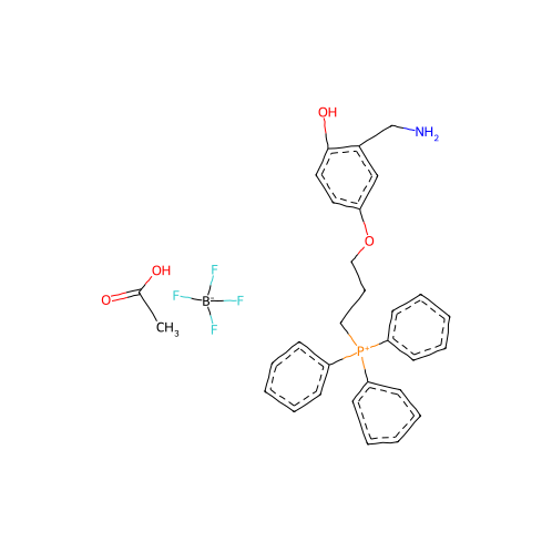 CC(=O)O.F[B-](F)(F)F.NCc1cc(OCCC[P+](c2ccccc2)(c2ccccc2)c2ccccc2)ccc1O